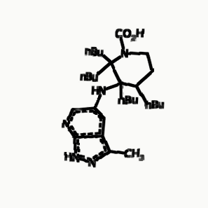 CCCCC1CCN(C(=O)O)C(CCCC)(CCCC)C1(CCCC)Nc1cnc2[nH]nc(C)c2c1